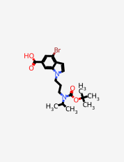 CC(C)N(CCCn1ccc2c(Br)cc(C(=O)O)cc21)C(=O)OC(C)(C)C